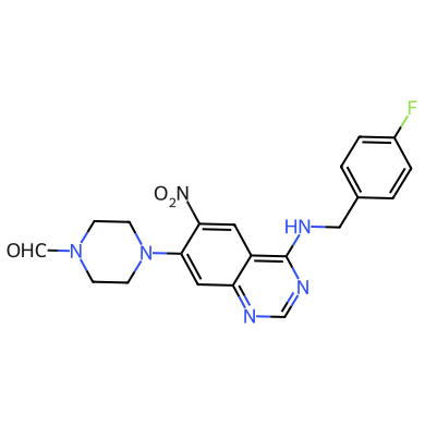 O=CN1CCN(c2cc3ncnc(NCc4ccc(F)cc4)c3cc2[N+](=O)[O-])CC1